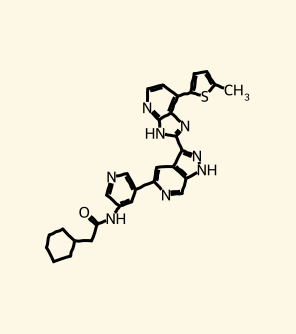 Cc1ccc(-c2ccnc3[nH]c(-c4n[nH]c5cnc(-c6cncc(NC(=O)CC7CCCCC7)c6)cc45)nc23)s1